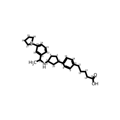 CC(NC1CCC(c2ccc(CCCCC(=O)O)cc2)C1)c1cccc(N2CCCC2)c1